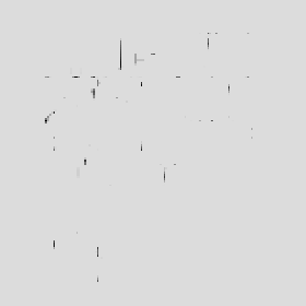 COc1c2c(c(O)c3c4c(c(C)cc13)[C@H](OCC1OCCCO1)[C@@H]1OC[C@]3(CO3)[C@]1(OC(C)=O)O4)C(=O)CCC2